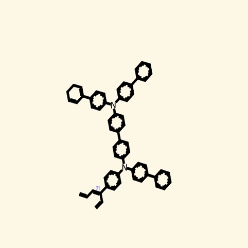 C=C/C=C(\C=C)c1ccc(N(c2ccc(-c3ccccc3)cc2)c2ccc(-c3ccc(N(c4ccc(C5=CCCC=C5)cc4)c4ccc(-c5ccccc5)cc4)cc3)cc2)cc1